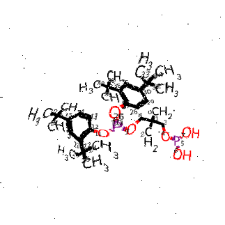 [CH2]C([CH2])(COP(O)O)COP(Oc1ccc(C(C)(C)C)cc1C(C)(C)C)Oc1ccc(C(C)(C)C)cc1C(C)(C)C